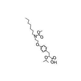 CCCCCCCN(CCOc1ccc(CC(OC(C)C)C(=O)O)cc1)C(=O)OC